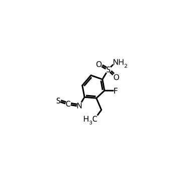 CCc1c(N=C=S)ccc(S(N)(=O)=O)c1F